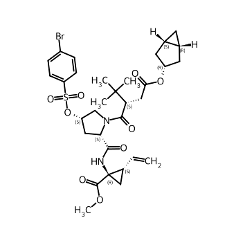 C=C[C@@H]1C[C@]1(NC(=O)[C@@H]1C[C@H](OS(=O)(=O)c2ccc(Br)cc2)CN1C(=O)[C@@H](CC(=O)O[C@@H]1C[C@@H]2C[C@@H]2C1)C(C)(C)C)C(=O)OC